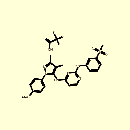 COc1ccc(-n2nc(C)c(C)c2Nc2ccnc(Nc3cccc(S(C)(=O)=O)c3)n2)cc1.O=C(O)C(F)(F)F